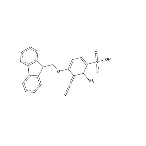 NC1C(=C=O)C(OCC2c3ccccc3-c3ccccc32)=CC=C1S(=O)(=O)O